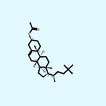 CC(=O)O[C@H]1CC[C@@]2(C)C(=CC[C@H]3[C@@H]4CC[C@H]([C@H](C)CCC(C)(C)C)[C@@]4(C)CC[C@@H]32)C1